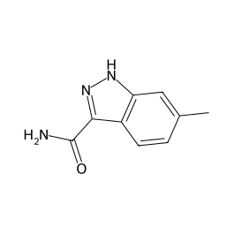 Cc1ccc2c(C(N)=O)n[nH]c2c1